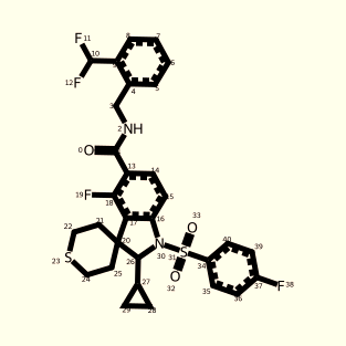 O=C(NCc1ccccc1C(F)F)c1ccc2c(c1F)C1(CCSCC1)C(C1CC1)N2S(=O)(=O)c1ccc(F)cc1